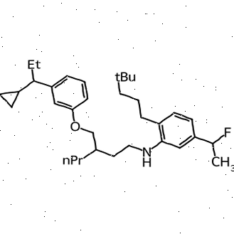 CCCC(CCNc1cc(C(C)F)ccc1CCCC(C)(C)C)COc1cccc(C(CC)C2CC2)c1